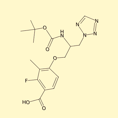 Cc1c(OCC(Cn2ncnn2)NC(=O)OC(C)(C)C)ccc(C(=O)O)c1F